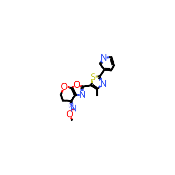 CO/N=C1\CCOc2oc(-c3sc(-c4cccnc4)nc3C)nc21